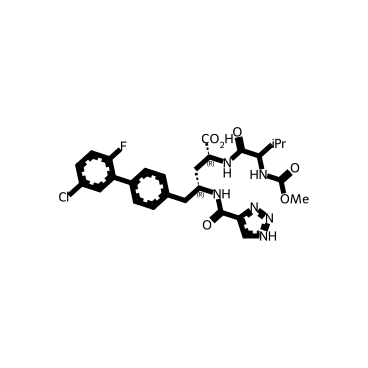 COC(=O)NC(C(=O)N[C@H](C[C@@H](Cc1ccc(-c2cc(Cl)ccc2F)cc1)NC(=O)c1c[nH]nn1)C(=O)O)C(C)C